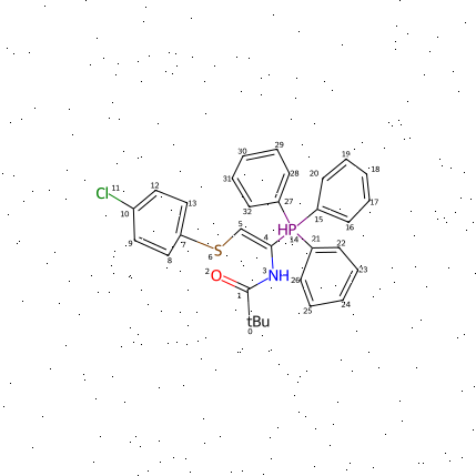 CC(C)(C)C(=O)NC(=CSc1ccc(Cl)cc1)[PH](c1ccccc1)(c1ccccc1)c1ccccc1